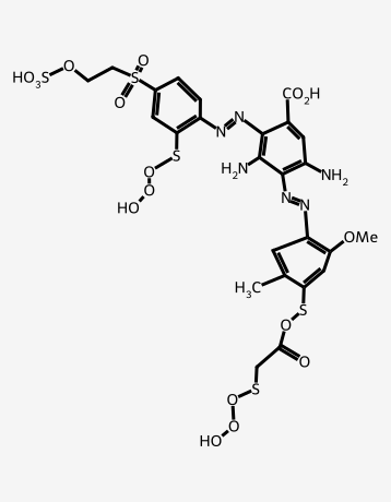 COc1cc(SOC(=O)CSOOO)c(C)cc1N=Nc1c(N)cc(C(=O)O)c(N=Nc2ccc(S(=O)(=O)CCOS(=O)(=O)O)cc2SOOO)c1N